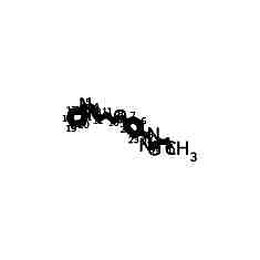 CCc1nc(-c2ccc(OCCCn3cnc4ccccc43)cc2)no1